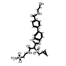 NS(=O)(=O)CCNC(=O)C(c1nc2ccc(-c3ccc(C(=O)NCCO)cc3)cc2s1)S(=O)(=O)CC1CC1